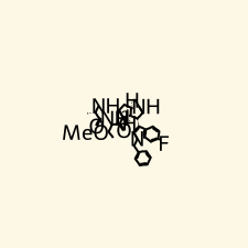 CO[C@H](C)[C@H](NC(=O)[C@H](C)N)C(=O)N1CC[C@H]2NC[C@H](c3cn(Cc4ccccc4)c4cc(F)ccc34)[C@H]21